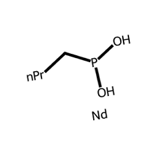 CCCCP(O)O.[Nd]